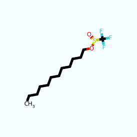 CCCCCCCCCCCCOS(=O)C(F)(F)F